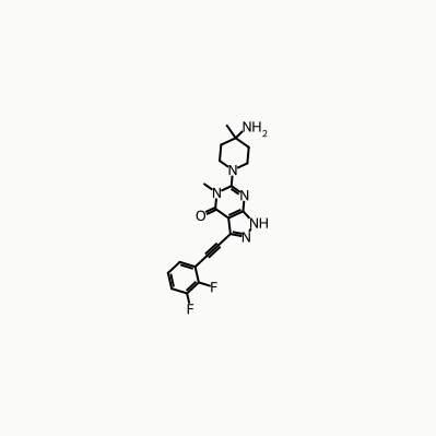 Cn1c(N2CCC(C)(N)CC2)nc2[nH]nc(C#Cc3cccc(F)c3F)c2c1=O